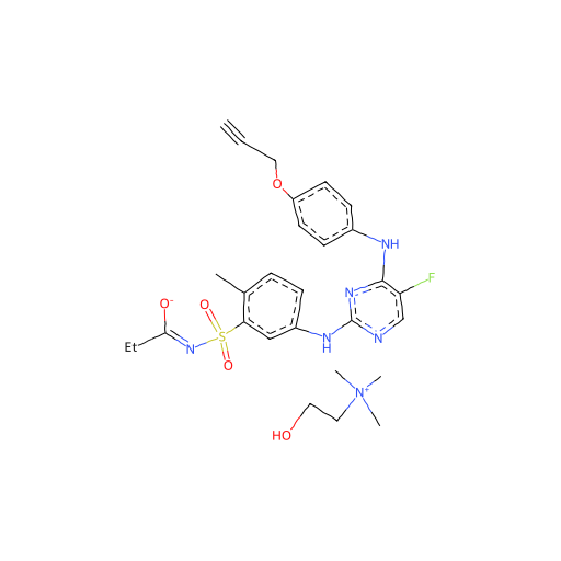 C#CCOc1ccc(Nc2nc(Nc3ccc(C)c(S(=O)(=O)/N=C(\[O-])CC)c3)ncc2F)cc1.C[N+](C)(C)CCO